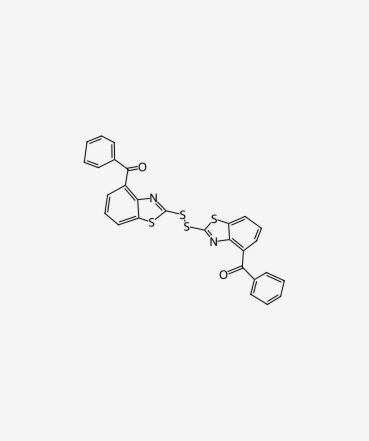 O=C(c1ccccc1)c1cccc2sc(SSc3nc4c(C(=O)c5ccccc5)cccc4s3)nc12